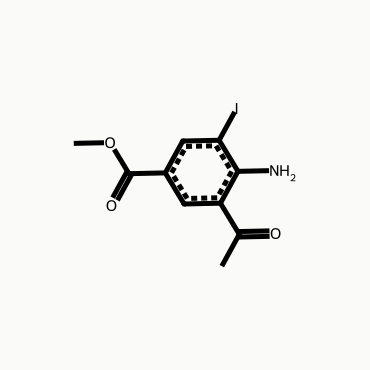 COC(=O)c1cc(I)c(N)c(C(C)=O)c1